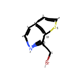 BrCc1nccc2ccsc12